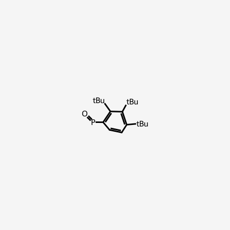 CC(C)(C)c1ccc(P=O)c(C(C)(C)C)c1C(C)(C)C